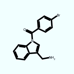 NCc1cn(C(=O)c2ccc(Br)cc2)c2ccccc12